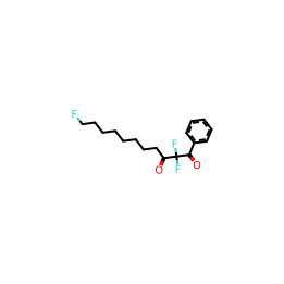 O=C(CCCCCCCCF)C(F)(F)C(=O)c1ccccc1